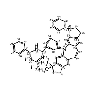 CC1(C)C=Cc2cc3c(cc21)N(c1cccc(C2N=C(P)NC(c4ccccc4)N2)c1)c1cc2c(cc1C=C3)CCN2c1ccccc1